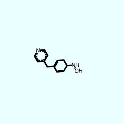 ONC1C=CC(Cc2ccncc2)=CC1